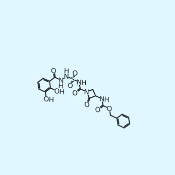 O=C(NC1CN(C(=O)NS(=O)(=O)NNC(=O)c2cccc(O)c2O)C1=O)OCc1ccccc1